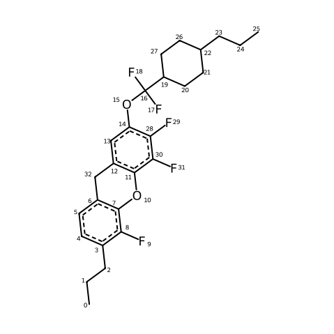 CCCc1ccc2c(c1F)Oc1c(cc(OC(F)(F)C3CCC(CCC)CC3)c(F)c1F)C2